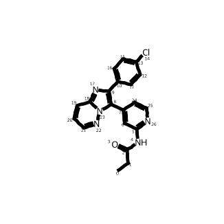 CCC(=O)Nc1cc(-c2c(-c3ccc(Cl)cc3)nc3cccnn23)ccn1